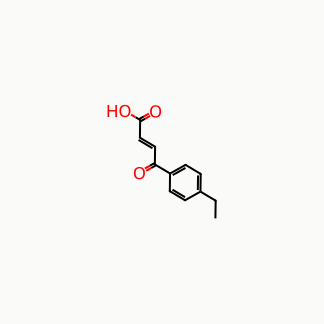 CCc1ccc(C(=O)C=CC(=O)O)cc1